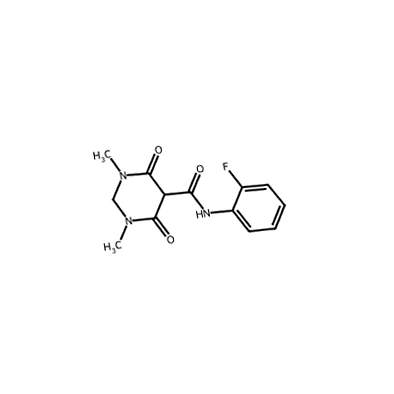 CN1CN(C)C(=O)C(C(=O)Nc2ccccc2F)C1=O